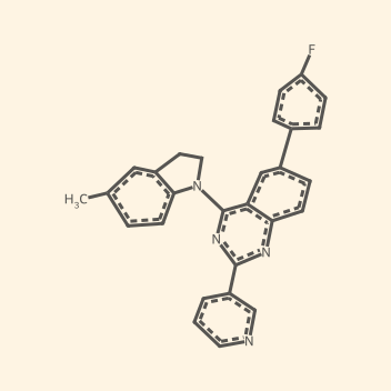 Cc1ccc2c(c1)CCN2c1nc(-c2cccnc2)nc2ccc(-c3ccc(F)cc3)cc12